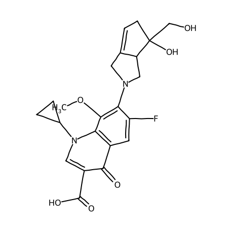 COc1c(N2CC3=CCC(O)(CO)C3C2)c(F)cc2c(=O)c(C(=O)O)cn(C3CC3)c12